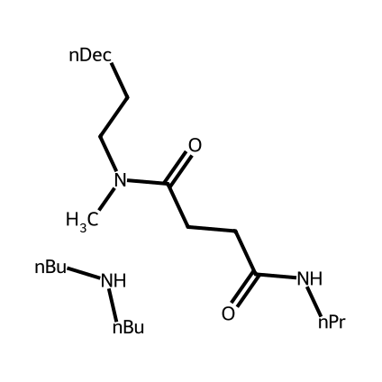 CCCCCCCCCCCCN(C)C(=O)CCC(=O)NCCC.CCCCNCCCC